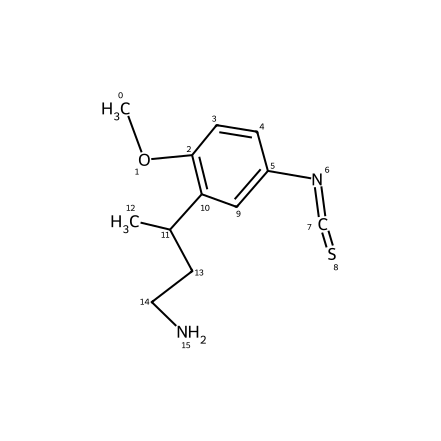 COc1ccc(N=C=S)cc1C(C)CCN